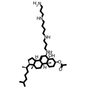 CC(=O)O[C@H]1CC[C@]2(C)[C@H]3CC[C@]4(C)[C@@H]([C@H](C)CCCC(C)C)CC[C@H]4C3=C[C@@H](NCCCNCCCCNCCCN)[C@@]2(O)C1